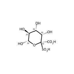 O=C(O)[C@]1(S(=O)(=O)O)O[C@H](O)[C@@H](O)[C@H](O)[C@@H]1O